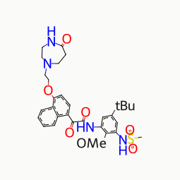 COc1c(NC(=O)C(=O)c2ccc(OCCN3CCNC(=O)CC3)c3ccccc23)cc(C(C)(C)C)cc1NS(C)(=O)=O